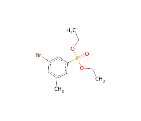 CCOP(=O)(OCC)c1cc(C)cc(Br)c1